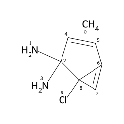 C.NC1(N)C=CC2=CC21Cl